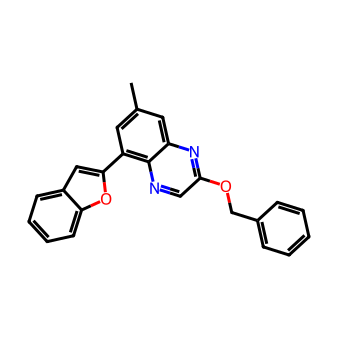 Cc1cc(-c2cc3ccccc3o2)c2ncc(OCc3ccccc3)nc2c1